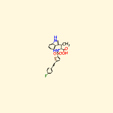 CC(c1c[nH]c2ccccc12)[C@H](NS(=O)(=O)c1ccc(C#Cc2ccc(F)cc2)s1)C(=O)O